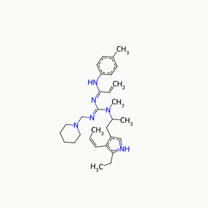 C=C/C(=N\C(=N/CN1CCCCC1)N(C)C(C)Cc1c[nH]c(CC)c1/C=C\C)Nc1ccc(C)cc1